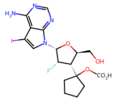 Nc1ncnc2c1c(I)cn2[C@@H]1O[C@@H](CO)[C@H](C2(OC(=O)O)CCCC2)[C@@H]1F